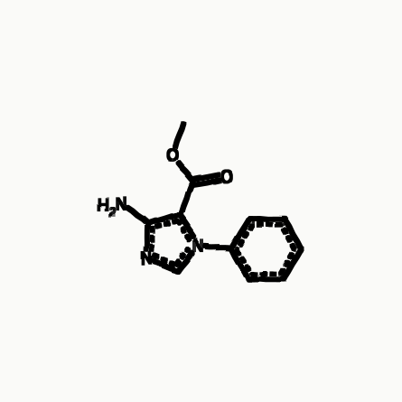 COC(=O)c1c(N)ncn1-c1ccccc1